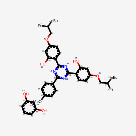 CCCCC(CC)COc1ccc(-c2nc(-c3ccc(OC)cc3)nc(-c3ccc(OCC(CC)CCCC)cc3O)n2)c(O)c1.Oc1cccc(O)c1